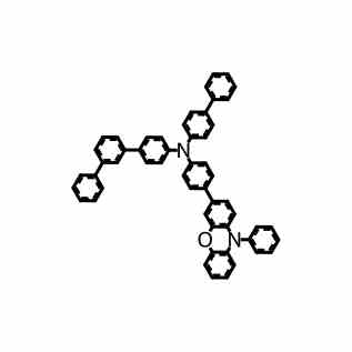 c1ccc(-c2ccc(N(c3ccc(-c4cccc(-c5ccccc5)c4)cc3)c3ccc(-c4ccc5c(c4)Oc4ccccc4N5c4ccccc4)cc3)cc2)cc1